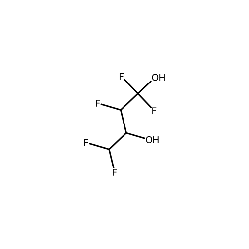 OC(C(F)F)C(F)C(O)(F)F